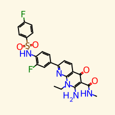 CCn1c(N)c(C(=O)NC)c(=O)c2ccc(-c3ccc(NS(=O)(=O)c4ccc(F)cc4)c(F)c3)nc21